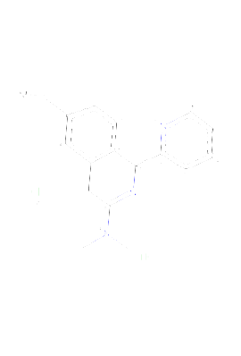 COc1ccc2c(c1)CC(N(C)C)=NC2c1ccccn1.Cl.Cl